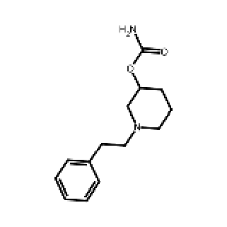 NC(=O)OC1CCCN(CCc2ccccc2)C1